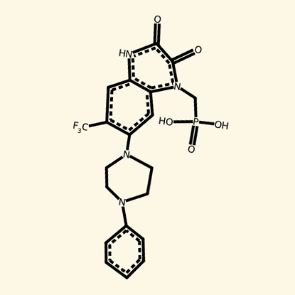 O=c1[nH]c2cc(C(F)(F)F)c(N3CCN(c4ccccc4)CC3)cc2n(CP(=O)(O)O)c1=O